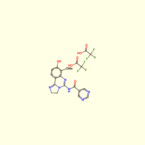 COc1c(O)ccc2c1N=C(NC(=O)c1cncnc1)N1CCN=C21.O=C(O)C(F)(F)F.O=C(O)C(F)(F)F